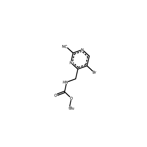 CC(C)(C)OC(=O)NCc1nc(C#N)ncc1Br